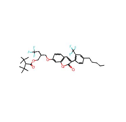 CCCCCc1ccc(-c2cc3ccc(OCC(COC(=O)C(C(C)(C)C)C(C)(C)C)CC(F)(F)F)cc3oc2=O)c(C(F)(F)F)c1